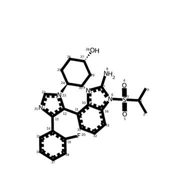 CC(C)S(=O)(=O)n1c(N)nc2c(-c3c(-c4ccccc4F)ncn3[C@H]3CC[C@H](O)CC3)cccc21